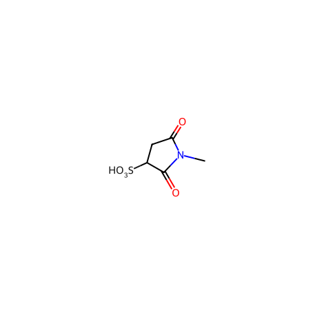 CN1C(=O)CC(S(=O)(=O)O)C1=O